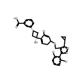 O=C(O)c1cccc([C@H]2C[C@](O)(C3=CCC(OCc4c(-c5c(Cl)cccc5Cl)noc4C4CC4)C=C3Cl)C2)c1